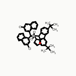 CC(C)(C)c1ccc2c(c1)-c1cc(C(C)(C)C)ccc1[CH]2[Zr]([Cl])([Cl])(=[C](c1cc(Cl)cc2ccccc12)c1cc(Cl)cc2ccccc12)[CH]1C=CC=C1